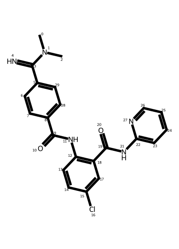 CN(C)C(=N)c1ccc(C(=O)Nc2ccc(Cl)cc2C(=O)Nc2ccccn2)cc1